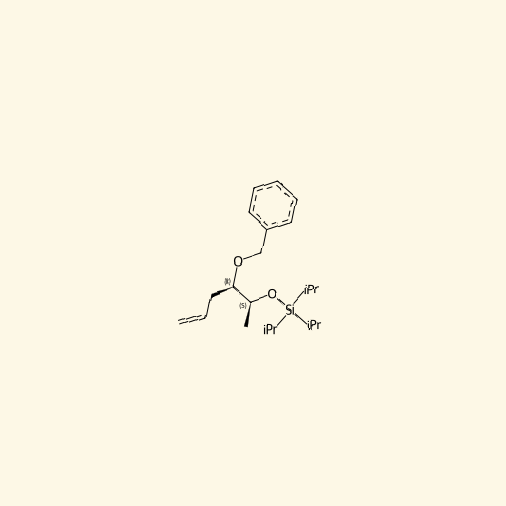 C=CC[C@@H](OCc1ccccc1)[C@H](C)O[Si](C(C)C)(C(C)C)C(C)C